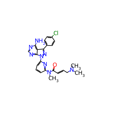 CN(C)C/C=C/C(=O)N(C)c1cccc(-n2nc(-c3ccc(Cl)cc3)c3c(N)ncnc32)n1